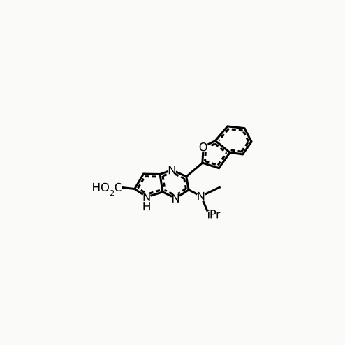 CC(C)N(C)c1nc2[nH]c(C(=O)O)cc2nc1-c1cc2ccccc2o1